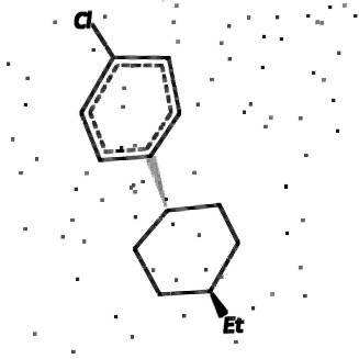 CC[C@H]1CC[C@H](c2ccc(Cl)cc2)CC1